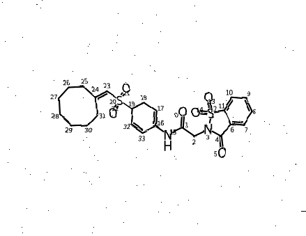 O=C(CN1C(=O)c2ccccc2S1(=O)=O)NC1=CCC(S(=O)(=O)C=C2CCCCCCC2)C=C1